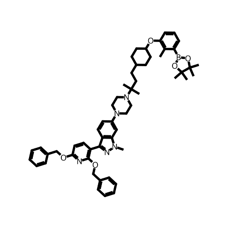 Cc1c(OC2CCC(CCC(C)(C)N3CCN(c4ccc5c(-c6ccc(OCc7ccccc7)nc6OCc6ccccc6)nn(C)c5c4)CC3)CC2)cccc1B1OC(C)(C)C(C)(C)O1